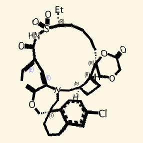 C=C1OC[C@]2(CCCc3cc(Cl)ccc32)CN2C[C@@H]3CC[C@H]3[C@]3(CCCC[C@@H](CC)S(=O)(=O)NC(=O)C(=C/C)/C=C\12)COCC(=O)O3